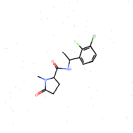 CC(NC(=O)C1CCC(=O)N1C)c1cccc(Cl)c1F